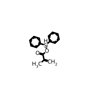 C=C(C)C(=O)O[SiH](c1ccccc1)c1ccccc1